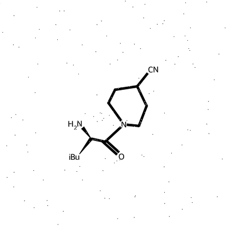 CC[C@H](C)[C@@H](N)C(=O)N1CCC(C#N)CC1